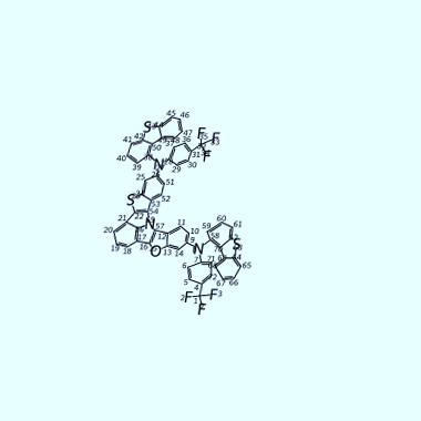 FC(F)(F)c1ccc(N(c2ccc3c(c2)oc2c4cccc5c6sc7cc(N(c8ccc(C(F)(F)F)cc8)c8cccc9sc%10ccccc%10c89)ccc7c6n(c45)c32)c2cccc3sc4ccccc4c23)cc1